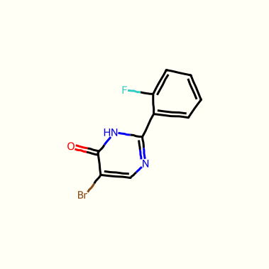 O=c1[nH]c(-c2ccccc2F)ncc1Br